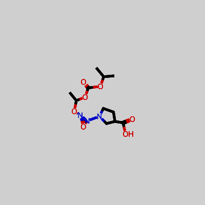 CC(C)OC(=O)OC(C)On1on1N1CCC(C(=O)O)C1